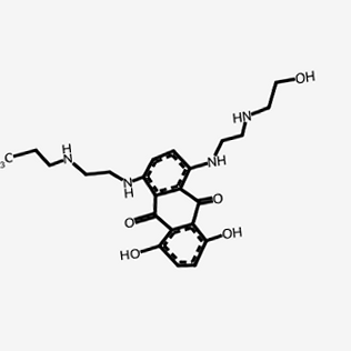 CCCNCCNc1ccc(NCCNCCO)c2c1C(=O)c1c(O)ccc(O)c1C2=O